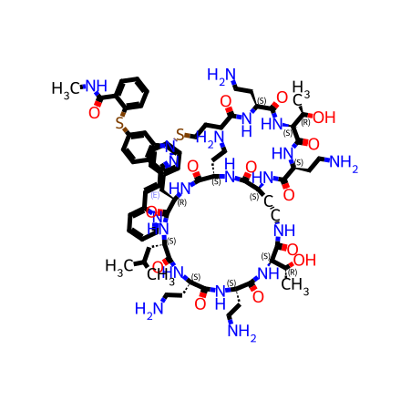 CNC(=O)c1ccccc1Sc1ccc2c(/C=C/c3ccccn3)nn(SCCCC(=O)N[C@@H](CCN)C(=O)N[C@H](C(=O)N[C@@H](CCN)C(=O)N[C@H]3CCNC(=O)[C@H]([C@@H](C)O)NC(=O)[C@H](CCN)NC(=O)[C@H](CCN)NC(=O)[C@H](CC(C)C)NC(=O)[C@@H](Cc4ccccc4)NC(=O)[C@H](CCN)NC3=O)[C@@H](C)O)c2c1